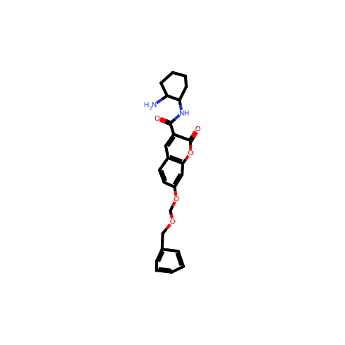 NC1CCCCC1NC(=O)c1cc2ccc(OCOCc3ccccc3)cc2oc1=O